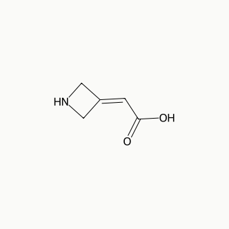 O=C(O)C=C1CNC1